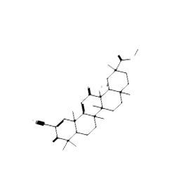 COC(=O)C1(C)CCC2(C)CCC3(C)C4(C)CCC5C(C)(C)C(=O)C(C#N)=CC5(C)C4=CC(=O)C3(O)C2C1